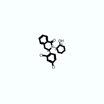 O=C1c2ccccc2C[C@H](c2ccc(Cl)cc2Cl)N1[C@H]1CCCC[C@@H]1O